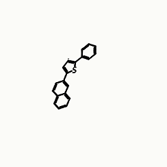 [c]1cc(-c2ccc3ccccc3c2)sc1-c1ccccc1